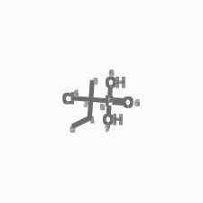 CCC(C)(Cl)P(=O)(O)O